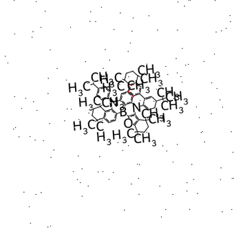 Cc1cc2c3c(c1)N(c1ccc(C(C)C)cc1)c1c(ccc4c1C(C)(C)CCC4(C)C)B3c1oc3c(c1N2C1=CCC(C(C)(C)C)C=C1c1ccc2c(c1)C(C)(C)CCC2(C)C)C(C)(C)CCC3(C)C